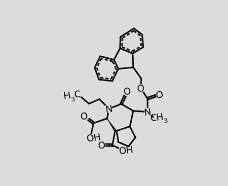 CCCN(C(=O)C(C1CCCC1)N(C)C(=O)OCC1c2ccccc2-c2ccccc21)[C@@H](CC(=O)O)C(=O)O